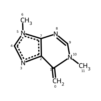 C=C1c2ncn(C)c2N=CN1C